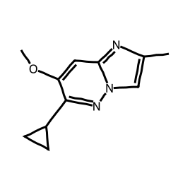 COc1cc2nc(C)cn2nc1C1CC1